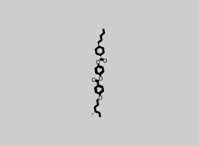 CCCCC[C@H]1CC[C@H](C(=O)Oc2ccc(OC(=O)c3ccc(OCCC[C@@H](C)CC)cc3)cc2)CC1